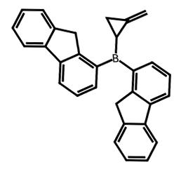 C=C1CC1B(c1cccc2c1Cc1ccccc1-2)c1cccc2c1Cc1ccccc1-2